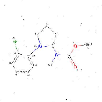 CN(C(=O)OC(C)(C)C)C1CCCN1c1ccccc1Br